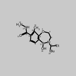 CCC(N1CCOc2c(ccc(C(=O)NN)c2C)B1O)C(C)(C)C